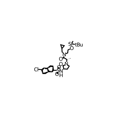 C[C@@H](C(=O)N(CCO[Si](C)(C)C(C)(C)C)CC1CC1)N1CC[C@H](NS(=O)(=O)c2ccc3cc(Cl)ccc3c2)C1=O